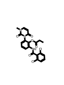 CCC(=O)Oc1c(NC(=O)c2c(Cl)cccc2Cl)cccc1-n1c(=O)ccn(C)c1=O